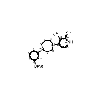 COc1cccc(N2CCCN(c3cc[nH]c(=S)c3C#N)CC2)c1